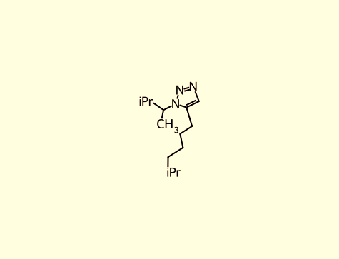 CC(C)CCCCc1cnnn1C(C)C(C)C